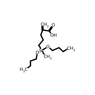 C=C(CCC[Si](C)(OCCCC)OCCCC)C(=O)O